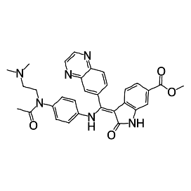 COC(=O)c1ccc2c(c1)NC(=O)/C2=C(\Nc1ccc(N(CCN(C)C)C(C)=O)cc1)c1ccc2nccnc2c1